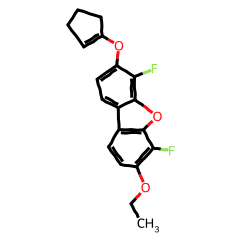 CCOc1ccc2c(oc3c(F)c(OC4=CCCC4)ccc32)c1F